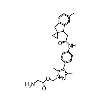 Cc1ccc2c(c1)C(CC(=O)Nc1ccc(-c3c(C)nn(COC(=O)CN)c3C)cc1)C1(CC1)C2